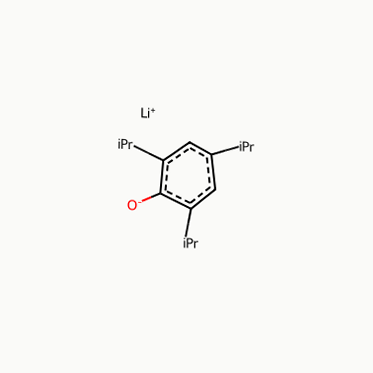 CC(C)c1cc(C(C)C)c([O-])c(C(C)C)c1.[Li+]